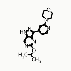 CC(C)Oc1ncc2[nH]nc(-c3ccnc(N4CCOCC4)c3)c2n1